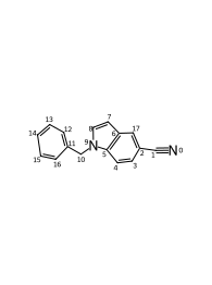 N#Cc1ccc2c(ccn2Cc2ccccc2)c1